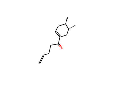 C=CCCC(=O)C1=CC[C@@H](C)[C@H](C)C1